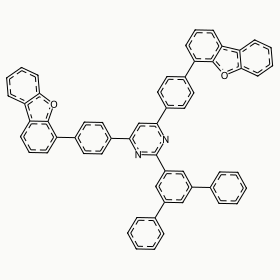 c1ccc(-c2cc(-c3ccccc3)cc(-c3nc(-c4ccc(-c5cccc6c5oc5ccccc56)cc4)cc(-c4ccc(-c5cccc6c5oc5ccccc56)cc4)n3)c2)cc1